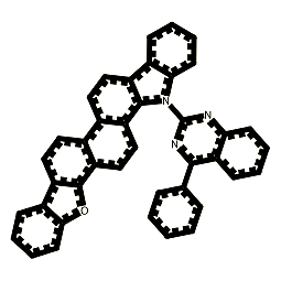 c1ccc(-c2nc(-n3c4ccccc4c4ccc5c6ccc7c8ccccc8oc7c6ccc5c43)nc3ccccc23)cc1